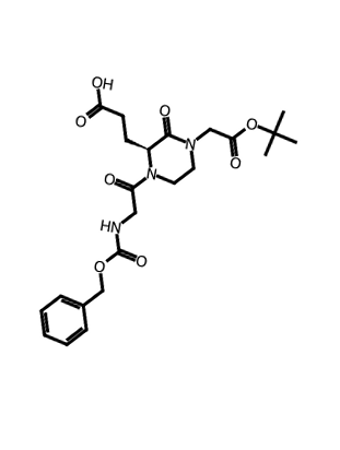 CC(C)(C)OC(=O)CN1CCN(C(=O)CNC(=O)OCc2ccccc2)[C@@H](CCC(=O)O)C1=O